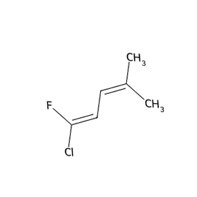 CC(C)=C/C=C(\F)Cl